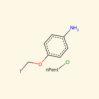 CCCCCCl.Nc1ccc(OCI)cc1